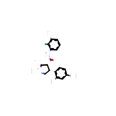 Cc1ccc([C@H]2CNC(=O)[C@@H]2C(=O)Nc2cccc(F)c2F)c(F)c1